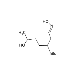 CCCCC(CC=NO)CCC(C)O